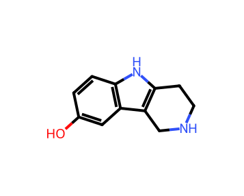 Oc1ccc2[nH]c3c(c2c1)CNCC3